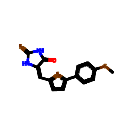 CSc1ccc(-c2ccc(C=C3NC(=S)NC3=O)s2)cc1